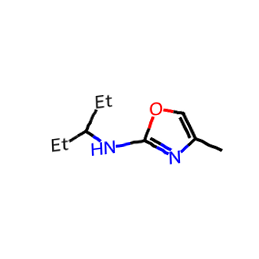 CCC(CC)Nc1nc(C)co1